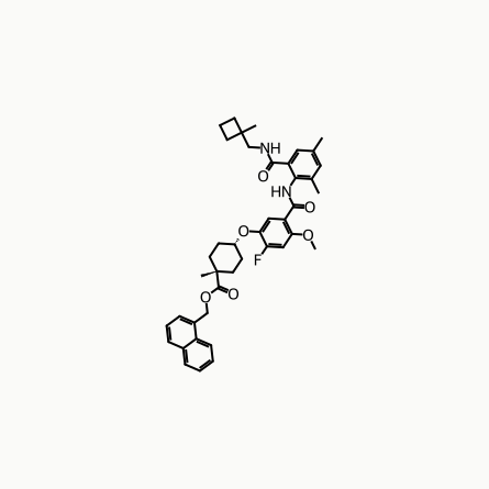 COc1cc(F)c(O[C@H]2CC[C@@](C)(C(=O)OCc3cccc4ccccc34)CC2)cc1C(=O)Nc1c(C)cc(C)cc1C(=O)NCC1(C)CCC1